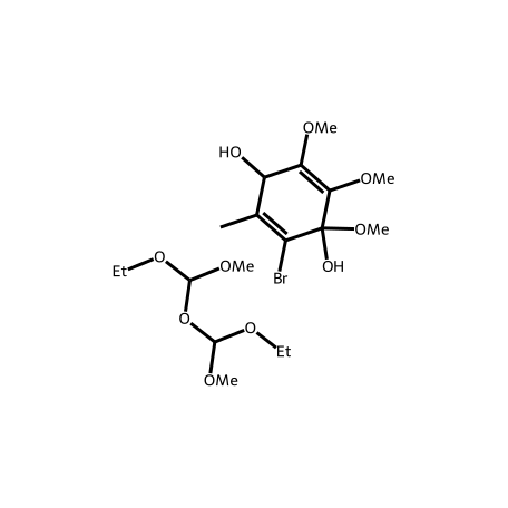 CCOC(OC)OC(OC)OCC.COC1=C(OC)C(O)(OC)C(Br)=C(C)C1O